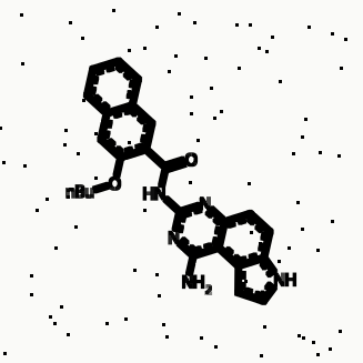 CCCCOc1cc2ccccc2cc1C(=O)Nc1nc(N)c2c(ccc3[nH]ccc32)n1